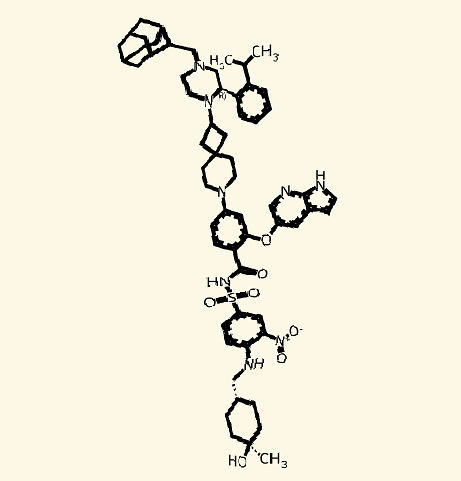 CC(C)c1ccccc1[C@@H]1CN(CC2C3CC4CC(C3)CC2C4)CCN1C1CC2(CCN(c3ccc(C(=O)NS(=O)(=O)c4ccc(NC[C@H]5CC[C@](C)(O)CC5)c([N+](=O)[O-])c4)c(Oc4cnc5[nH]ccc5c4)c3)CC2)C1